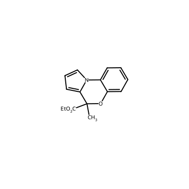 CCOC(=O)C1(C)Oc2ccccc2-n2cccc21